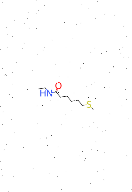 CCNC(=O)CCCCCSC